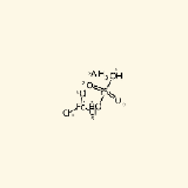 O=S(=O)(O)O.[AlH3].[Cl][Fe]([Cl])[Cl]